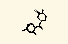 Cc1ccc(C(=O)N2CCNC(=O)C2)c(C)c1